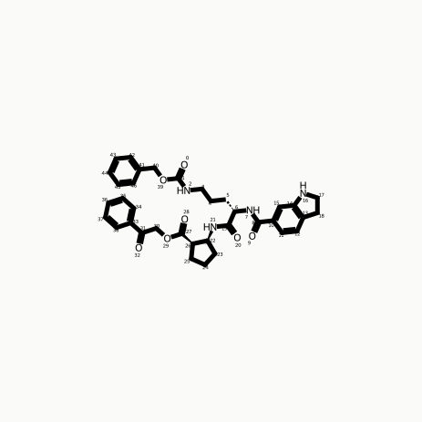 O=C(NCCC[C@H](NC(=O)c1ccc2c(c1)NCC2)C(=O)N[C@H]1CCC[C@H]1C(=O)OCC(=O)c1ccccc1)OCc1ccccc1